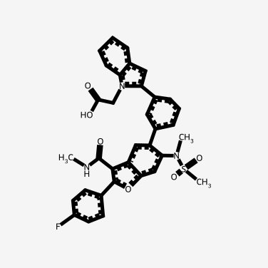 CNC(=O)c1c(-c2ccc(F)cc2)oc2cc(N(C)S(C)(=O)=O)c(-c3cccc(-c4cc5ccccc5n4CC(=O)O)c3)cc12